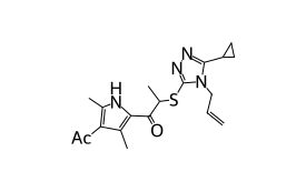 C=CCn1c(SC(C)C(=O)c2[nH]c(C)c(C(C)=O)c2C)nnc1C1CC1